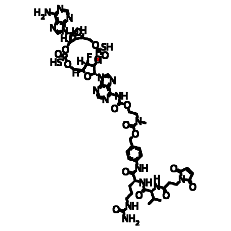 CC(C)[C@H](NC(=O)CCN1C(=O)C=CC1=O)C(=O)N[C@@H](CCCNC(N)=O)C(=O)Nc1ccc(COC(=O)N(C)CCOC(=O)Nc2ncnc3c2ncn3[C@@H]2O[C@@H]3CO[P@@](=O)(S)O[C@@H]4[C@H](F)[C@@H](CO[P@@](=O)(S)O[C@@H]2[C@@H]3F)O[C@H]4n2cnc3c(N)ncnc32)cc1